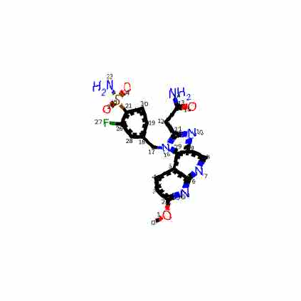 COc1ccc2c(ncc3nc(CC(N)=O)n(Cc4ccc(S(N)(=O)=O)c(F)c4)c32)n1